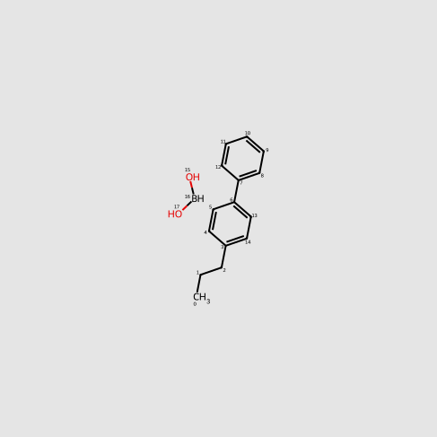 CCCc1ccc(-c2ccccc2)cc1.OBO